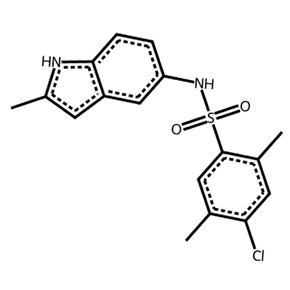 Cc1cc2cc(NS(=O)(=O)c3cc(C)c(Cl)cc3C)ccc2[nH]1